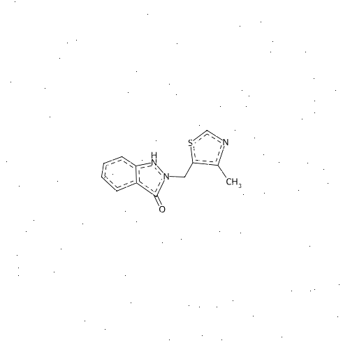 Cc1ncsc1Cn1[nH]c2ccccc2c1=O